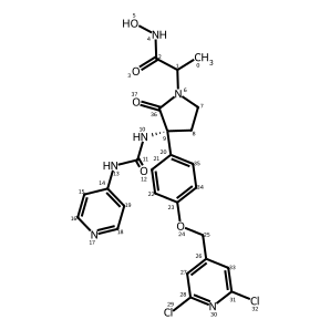 CC(C(=O)NO)N1CC[C@@](NC(=O)Nc2ccncc2)(c2ccc(OCc3cc(Cl)nc(Cl)c3)cc2)C1=O